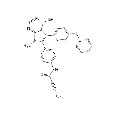 CC#CC(=O)Nc1ccc(-c2c(-c3ccc(Oc4ncccn4)cc3)c3c(N)ncnc3n2C)cc1